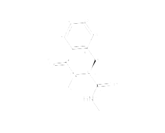 CNC(=O)[C@H](Cc1ccccc1)N(C)C=O